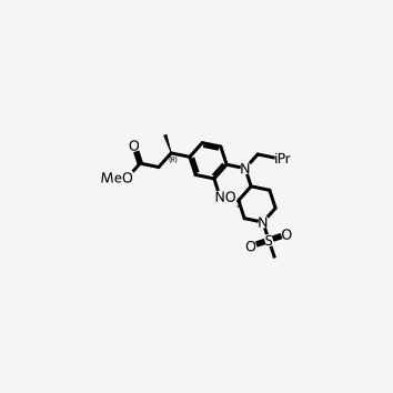 COC(=O)C[C@@H](C)c1ccc(N(CC(C)C)C2CCN(S(C)(=O)=O)CC2)c([N+](=O)[O-])c1